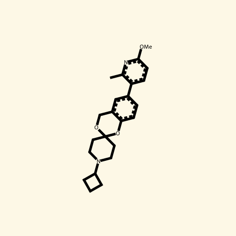 COc1ccc(-c2ccc3c(c2)COC2(CCN(C4CCC4)CC2)O3)c(C)n1